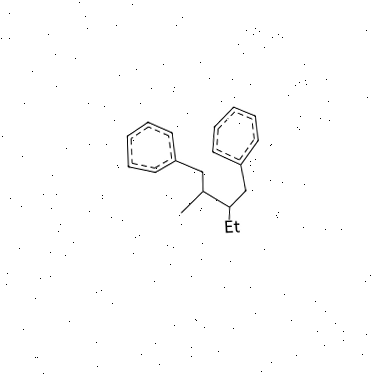 CCC(Cc1ccccc1)C(C)Cc1ccccc1